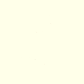 CC1(C)OB(c2ccc(CN3C[C@H]4C[C@@H]3CO4)nc2)OC1(C)C